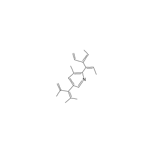 C=CC(=C\C)/C(=C/C)c1ncc(C(C(=C)C)=C(C)C)cc1C